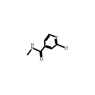 CNC(=O)c1ccnc(Cl)c1